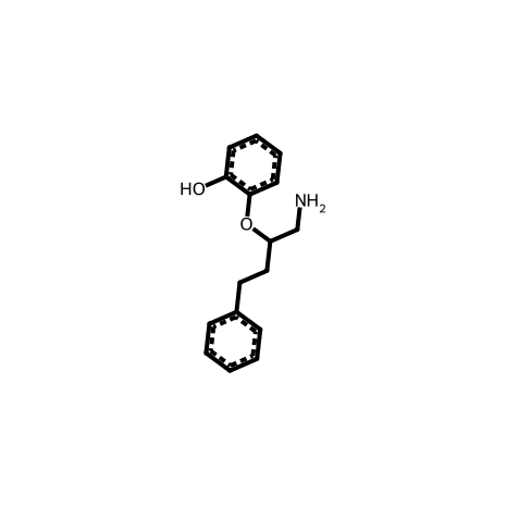 NCC(CCc1ccccc1)Oc1ccccc1O